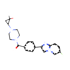 O=CC1(O)CC1N1CCN(C(=O)c2ccc(-c3cn4cc(F)ccc4n3)cc2)CC1